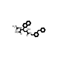 NC(=O)NC(C(=O)O)C(CC(O)C(=O)OCc1cccc(Cc2ccccc2)c1)c1ccc2ccccc2c1